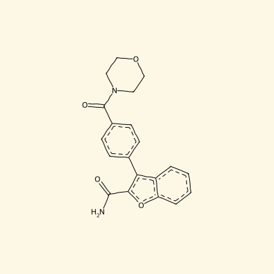 NC(=O)c1oc2ccccc2c1-c1ccc(C(=O)N2CCOCC2)cc1